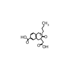 CCCCN1Cc2ccc(C(=O)O)cc2CC(CC(=O)O)C1=O